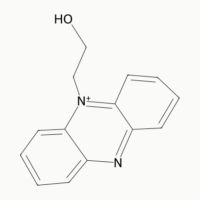 OCC[n+]1c2ccccc2nc2ccccc21